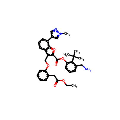 CCOC(=O)Cc1ccccc1OCc1c(C(=O)Oc2cccc(CN)c2C(C)(C)C)oc2c(-c3cnn(C)c3)cccc12